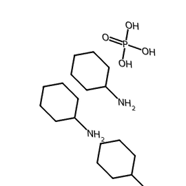 NC1CCCCC1.NC1CCCCC1.NC1CCCCC1.O=P(O)(O)O